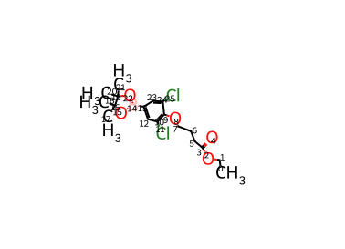 CCOC(=O)CCCOc1c(Cl)cc(B2OC(C)(C)C(C)(C)O2)cc1Cl